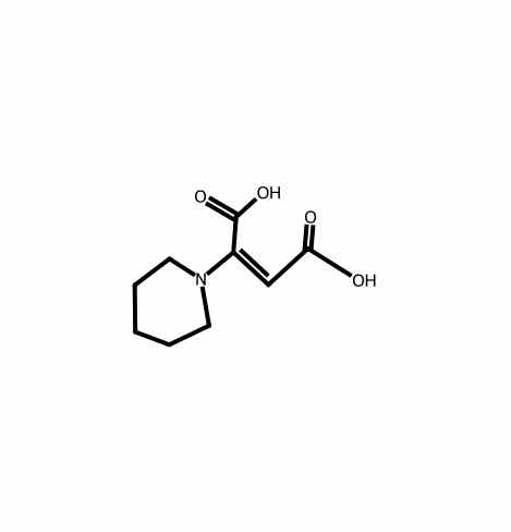 O=C(O)/C=C(\C(=O)O)N1CCCCC1